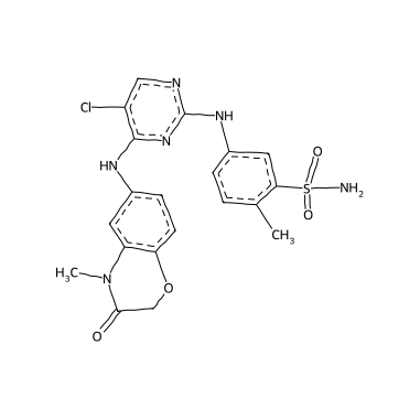 Cc1ccc(Nc2ncc(Cl)c(Nc3ccc4c(c3)N(C)C(=O)CO4)n2)cc1S(N)(=O)=O